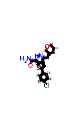 NC(=O)c1nnc(CC2CCCOC2)c2cc(-c3ccc(Cl)cc3)sc12